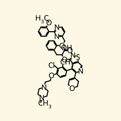 COc1ccccc1-c1nccc(COc2ccccc2CC(Oc2nsc3cnc(C4=CCOCC4)c(-c4ccc(OCCN5CCN(C)CC5)c(Cl)c4C)c23)C(=O)O)n1